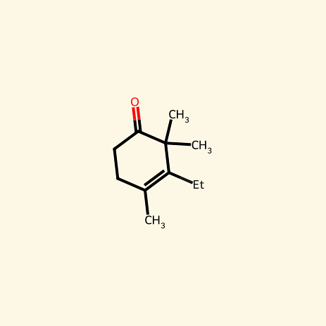 CCC1=C(C)CCC(=O)C1(C)C